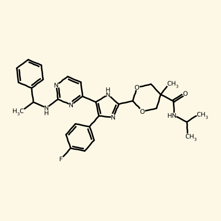 CC(C)NC(=O)C1(C)COC(c2nc(-c3ccc(F)cc3)c(-c3ccnc(NC(C)c4ccccc4)n3)[nH]2)OC1